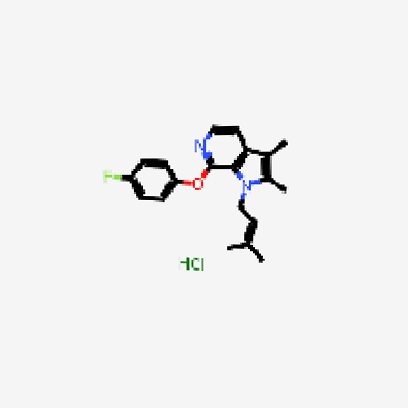 CC(C)=CCn1c(C)c(C)c2ccnc(Oc3ccc(F)cc3)c21.Cl